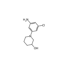 Nc1cc(Cl)cc(N2CCCC(O)C2)c1